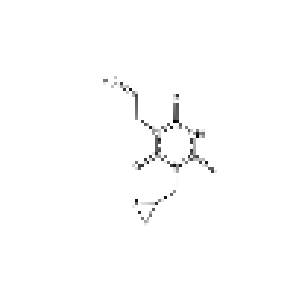 C=CCn1c(=O)[nH]c(=O)n(CC2CO2)c1=O